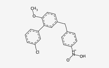 COc1ccc(Cc2ccc([NH+]([O-])O)cc2)cc1-c1cccc(Cl)c1